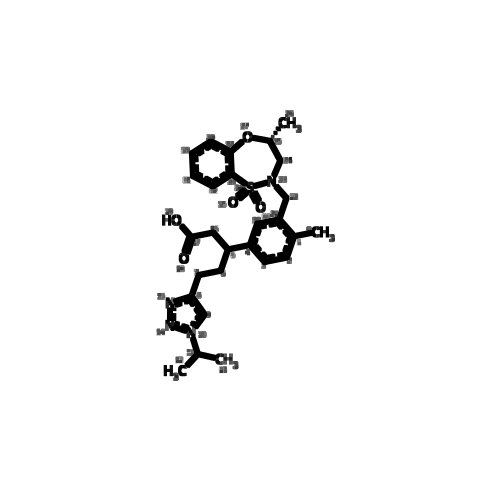 Cc1ccc(C(CCc2cn(C(C)C)nn2)CC(=O)O)cc1CN1C[C@@H](C)Oc2ccccc2S1(=O)=O